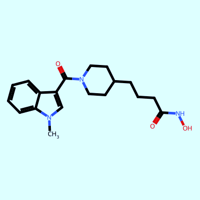 Cn1cc(C(=O)N2CCC(CCCC(=O)NO)CC2)c2ccccc21